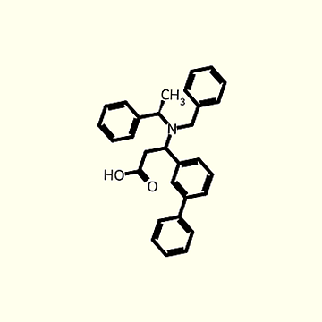 C[C@H](c1ccccc1)N(Cc1ccccc1)C(CC(=O)O)c1cccc(-c2ccccc2)c1